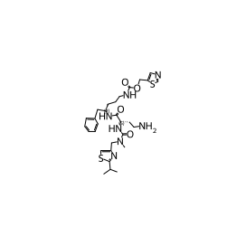 CC(C)c1nc(CN(C)C(=O)N[C@@H](CCN)C(=O)N[C@H](CCCNC(=O)OCc2cncs2)Cc2ccccc2)cs1